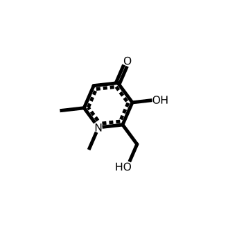 Cc1cc(=O)c(O)c(CO)n1C